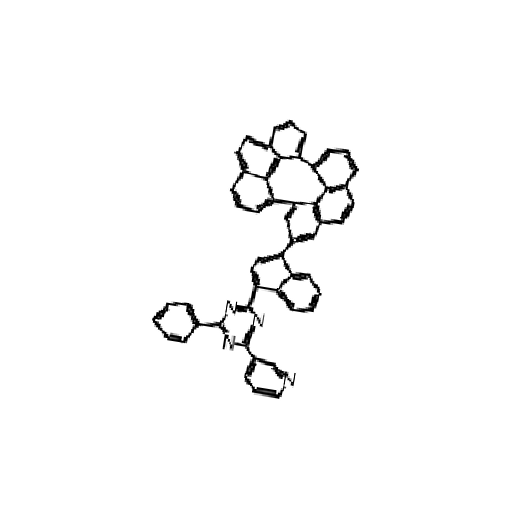 c1ccc(-c2nc(-c3cccnc3)nc(-c3ccc(-c4cc5ccc6cccc7c8cccc9ccc%10cccc(c(c4)c5c67)c%10c98)c4ccccc34)n2)cc1